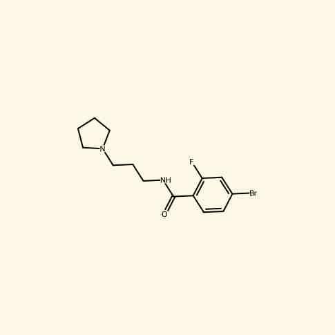 O=C(NCCCN1CCCC1)c1ccc(Br)cc1F